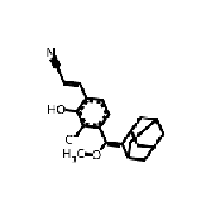 COC(=C1C2CC3CC(C2)CC1C3)c1ccc(/C=C/C#N)c(O)c1Cl